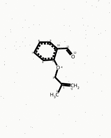 C=C(C)COc1ccccc1C=O